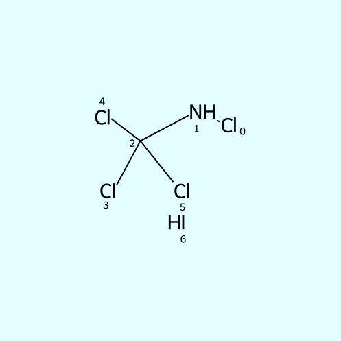 ClNC(Cl)(Cl)Cl.I